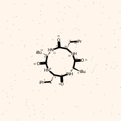 CC[C@H](C)[C@@H]1NC(=O)[C@H](CC(C)C)NC(=O)[C@H]([C@@H](C)CC)NC(=O)[C@H](CC(C)C)NC1=O